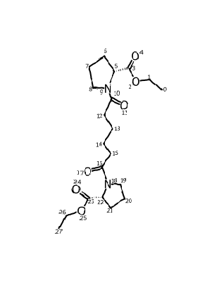 CCOC(=O)[C@H]1CCCN1C(=O)CCCCC(=O)N1CCC[C@@H]1C(=O)OCC